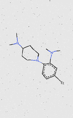 CCc1ccc(N2CCC(N(C)C)CC2)c(N(C)C)c1